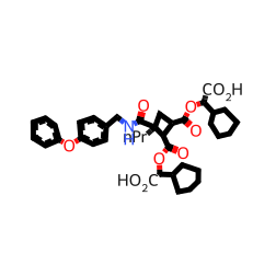 CCCC1(C(=O)NCc2ccc(Oc3ccccc3)cc2)CC(C(=O)OC(C(=O)O)C2CCCCC2)C1C(=O)OC(C(=O)O)C1CCCCC1